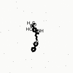 COC(=O)c1cc2[nH]cc(CCCCN3CC=C(c4ccccc4)CC3)c2cc1O